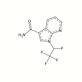 NC(=O)c1cn(C(F)C(F)(F)F)c2ncccc12